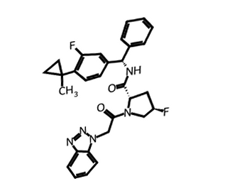 CC1(c2ccc([C@@H](NC(=O)[C@@H]3C[C@@H](F)CN3C(=O)Cn3nnc4ccccc43)c3ccccc3)cc2F)CC1